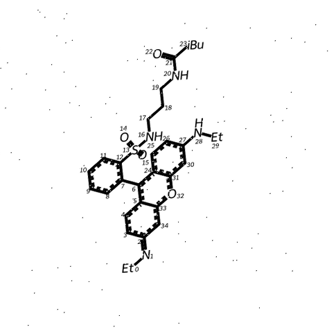 CC/N=c1\ccc2c(-c3ccccc3S(=O)(=O)NCCCNC(=O)C(C)CC)c3ccc(NCC)cc3oc-2c1